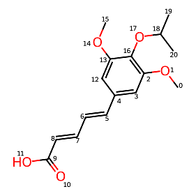 COc1cc(C=CC=CC(=O)O)cc(OC)c1OC(C)C